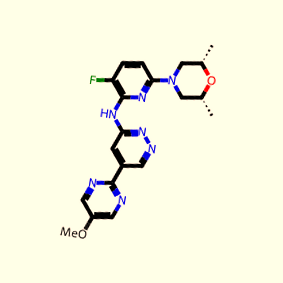 COc1cnc(-c2cnnc(Nc3nc(N4C[C@@H](C)O[C@@H](C)C4)ccc3F)c2)nc1